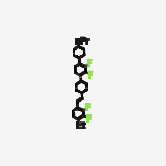 CCCC1CCC(c2ccc(C3CCC(/C=C/c4ccc(CC)c(F)c4F)CC3)c(F)c2F)CC1